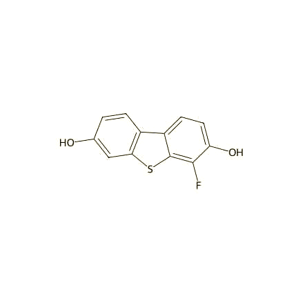 Oc1ccc2c(c1)sc1c(F)c(O)ccc12